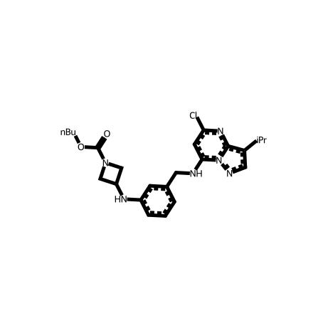 CCCCOC(=O)N1CC(Nc2cccc(CNc3cc(Cl)nc4c(C(C)C)cnn34)c2)C1